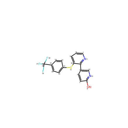 Oc1ccc(-c2ncccc2Sc2ccc(C(F)(F)F)cc2)cn1